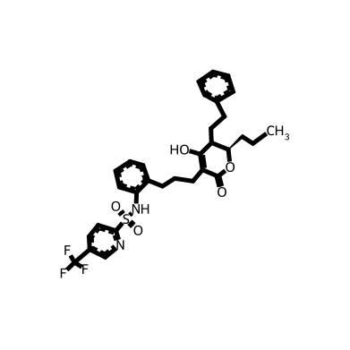 CCC[C@H]1OC(=O)C(CCCc2ccccc2NS(=O)(=O)c2ccc(C(F)(F)F)cn2)=C(O)C1CCc1ccccc1